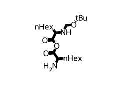 CCCCCCC(N)C(=O)OC(=O)C(CCCCCC)NCOC(C)(C)C